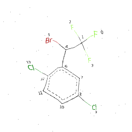 FC(F)(F)C(Br)c1cc(Cl)ccc1Cl